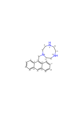 c1ccc2c(CN3CCNCCNCC3)c3ccccc3cc2c1